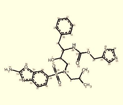 CC(C)CN(CC(O)C(Cc1ccccc1)NC(=O)OCc1cncs1)S(=O)(=O)c1ccc2nc(N)oc2c1